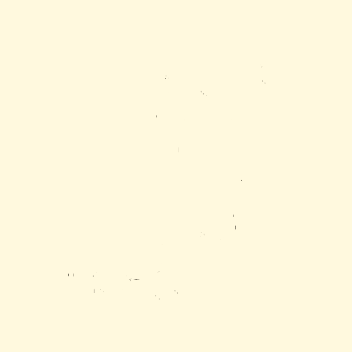 Cc1cc2c(N3CCN(C)c4ccc(Cl)cc43)cc(C3CCN(CC4CCN(c5cc6c(cc5F)c(N5CCC(=O)NC5=O)nn6C)CC4)CC3)cc2n(C)c1=O